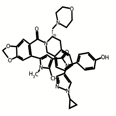 Cc1c(C(=O)N(c2ccc(O)cc2)c2cnn(C3CC3)c2)cc(-c2cc3c(cc2C(=O)N2Cc4ccccc4C[C@H]2CN2CCOCC2)OCO3)n1C